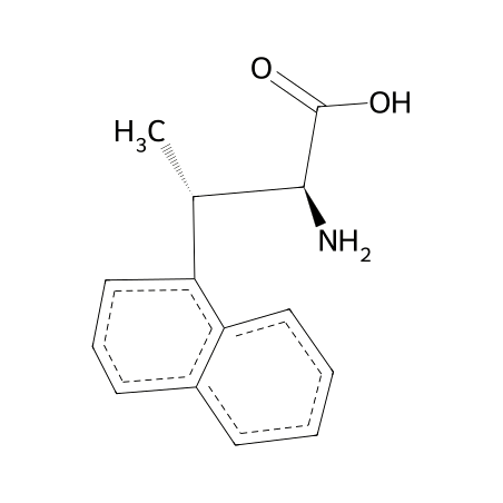 C[C@@H](c1cccc2ccccc12)[C@H](N)C(=O)O